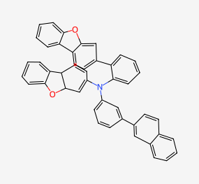 C1=CC2c3ccccc3OC2C=C1N(c1cccc(-c2ccc3ccccc3c2)c1)c1ccccc1-c1ccc2c(c1)oc1ccccc12